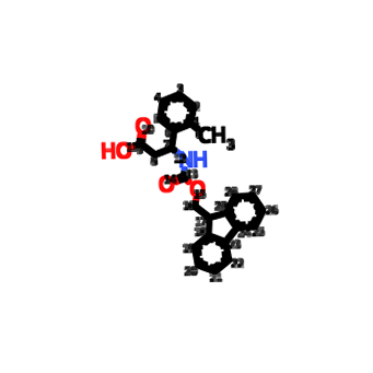 Cc1ccccc1C(CC(=O)O)NC(=O)OCC1c2ccccc2-c2ccccc21